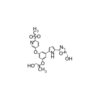 C[C@@H](CO)Oc1cc(Oc2ccc(S(C)(=O)=O)nc2)cc(-c2ccc(C3=NC[C@H](CO)O3)[nH]2)c1